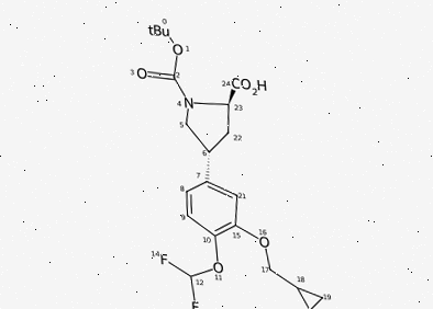 CC(C)(C)OC(=O)N1C[C@@H](c2ccc(OC(F)F)c(OCC3CC3)c2)C[C@@H]1C(=O)O